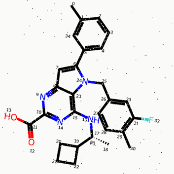 Cc1cccc(-c2cc3nc(C(=O)O)nc(N[C@H](C)C4CCC4)c3n2Cc2ccc(C)c(F)c2)c1